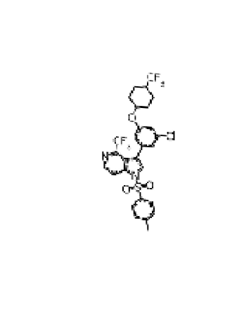 Cc1ccc(S(=O)(=O)n2cc(-c3cc(Cl)cc(OC4CCC(C(F)(F)F)CC4)c3)c3c(C(F)(F)F)nccc32)cc1